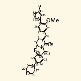 COc1cc(/C=C2\CCCN(C(C)c3ccc(N4CCOCC4)cc3F)C2=O)ccc1-n1cnc(C)c1